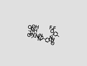 Cc1ccc(OC(F)F)c(Cn2c3cc(-c4cnc(N5CCN(C(=O)C(C)NC(=O)O)C(C)C5)nc4)ccc3c(=O)n2C)c1